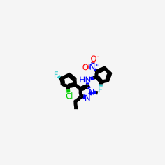 CCc1nn(C)c(Nc2c(F)cccc2[N+](=O)[O-])c1-c1ccc(F)cc1Cl